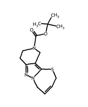 CC(C)(C)OC(=O)N1CCc2nn3c(c2C1)SCC=CC3